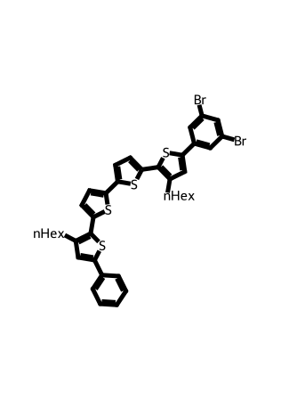 CCCCCCc1cc(-c2ccccc2)sc1-c1ccc(-c2ccc(-c3sc(-c4cc(Br)cc(Br)c4)cc3CCCCCC)s2)s1